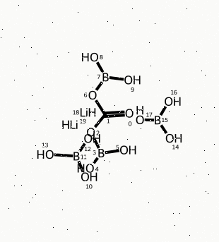 O=C(OB(O)O)OB(O)O.OB(O)O.OB(O)O.[LiH].[LiH]